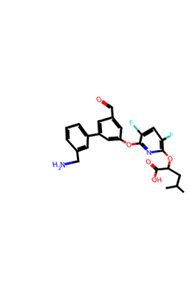 CC(C)CC(Oc1nc(Oc2cc(C=O)cc(-c3cccc(CN)c3)c2)c(F)cc1F)C(=O)O